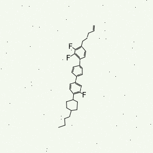 C=CCCCc1ccc(-c2ccc(-c3ccc(C4CCC(CCCC)CC4)c(F)c3)cc2)c(F)c1F